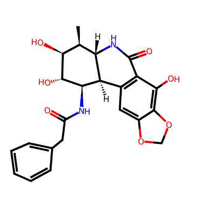 C[C@@H]1[C@H](O)[C@@H](O)[C@H](NC(=O)Cc2ccccc2)[C@@H]2c3cc4c(c(O)c3C(=O)N[C@@H]12)OCO4